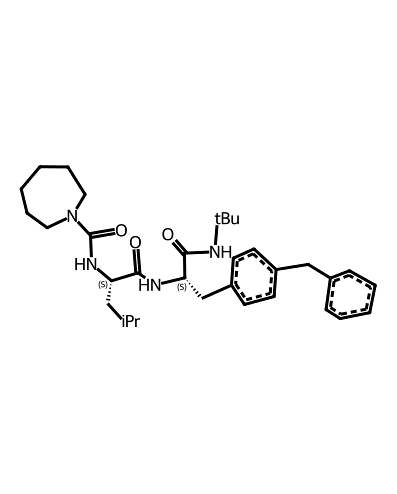 CC(C)C[C@H](NC(=O)N1CCCCCC1)C(=O)N[C@@H](Cc1ccc(Cc2ccccc2)cc1)C(=O)NC(C)(C)C